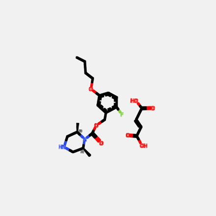 CCCCOc1ccc(F)c(COC(=O)N2[C@H](C)CNC[C@@H]2C)c1.O=C(O)C=CC(=O)O